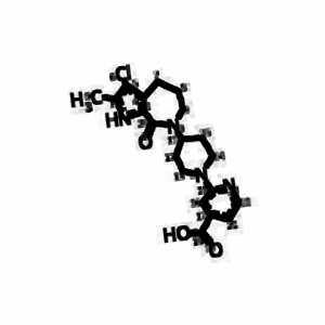 Cc1[nH]c2c(c1Cl)CCCN(C1CCN(c3cc(C(=O)O)ccn3)CC1)C2=O